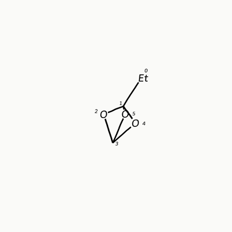 CCC12OC(O1)O2